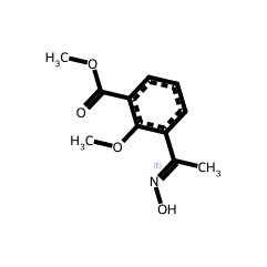 COC(=O)c1cccc(/C(C)=N/O)c1OC